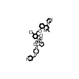 Cc1cc(-n2ccnc2)c2cccc(OCc3c(Cl)ccc(S(=O)(=O)N4CCC[C@H]4C(=O)N4CCN(Cc5ccncc5)CC4)c3Cl)c2n1